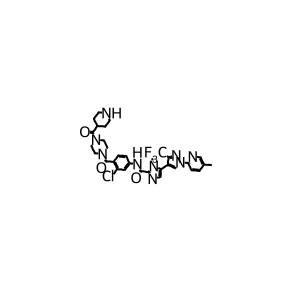 Cc1ccc(-n2cc(-c3cnc(C(=O)Nc4ccc(C(=O)N5CCN(C(=O)C6CCNCC6)CC5)c(Cl)c4)n3C)c(C(F)(F)F)n2)nc1